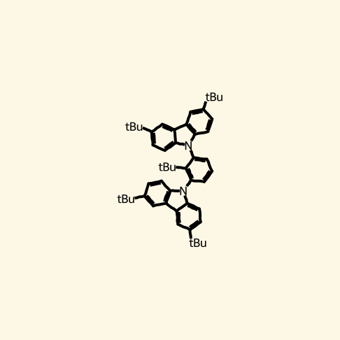 CC(C)(C)c1ccc2c(c1)c1cc(C(C)(C)C)ccc1n2-c1cccc(-n2c3ccc(C(C)(C)C)cc3c3cc(C(C)(C)C)ccc32)c1C(C)(C)C